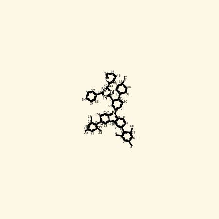 Cc1cc(C)c(-c2ccc3c(c2)c2cc(-c4c(C)cc(C)cc4C)ccc2n3-c2ccc(-c3ccc(F)cc3)c(-c3nc(-c4ccccc4)nc(-c4ccccc4)n3)c2)c(C)c1